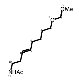 COCOCCCC/C=C/CCNC(C)=O